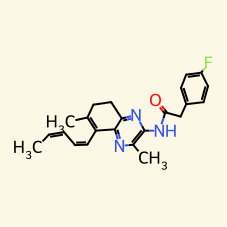 C/C=C\C=C/C1=C(C)CCc2nc(NC(=O)Cc3ccc(F)cc3)c(C)nc21